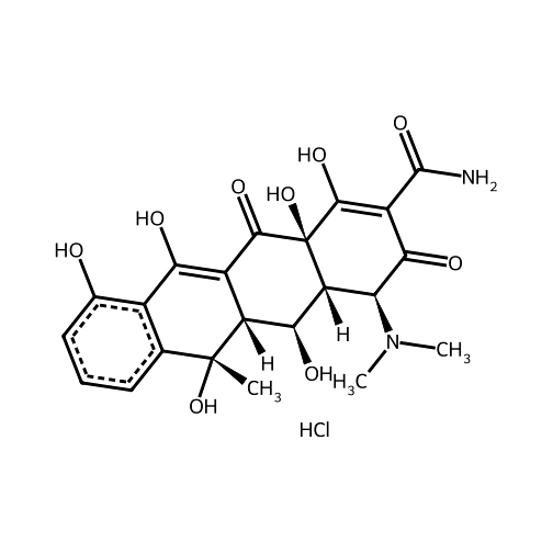 CN(C)[C@@H]1C(=O)C(C(N)=O)=C(O)[C@@]2(O)C(=O)C3=C(O)c4c(O)cccc4[C@@](C)(O)[C@H]3[C@H](O)[C@@H]12.Cl